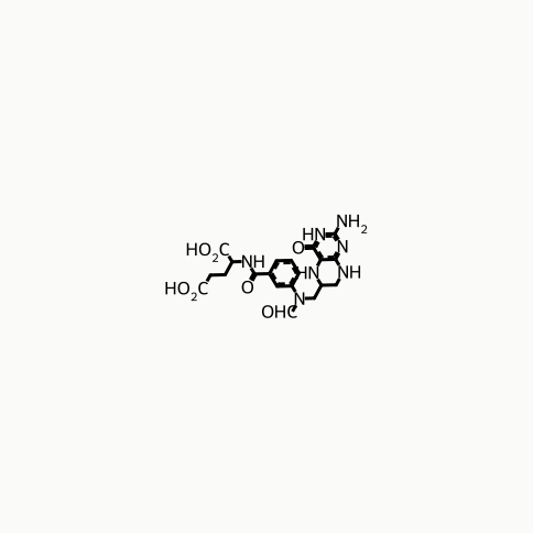 Nc1nc2c(c(=O)[nH]1)NC(CN(C=O)c1cccc(C(=O)NC(CCC(=O)O)C(=O)O)c1)CN2